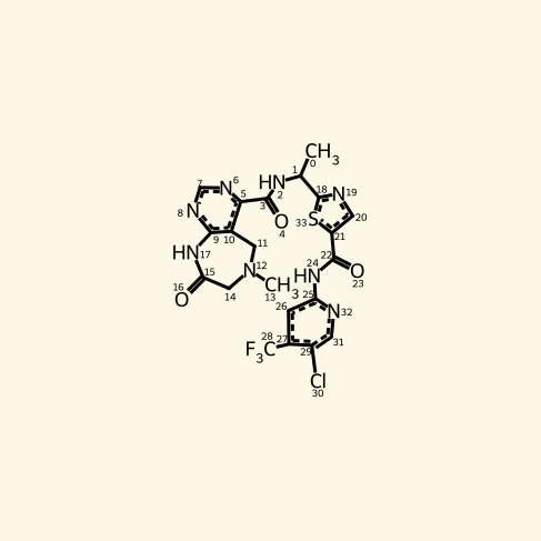 CC(NC(=O)c1ncnc2c1CN(C)CC(=O)N2)c1ncc(C(=O)Nc2cc(C(F)(F)F)c(Cl)cn2)s1